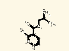 CC(C)COC(=O)c1ccnnc1[O]